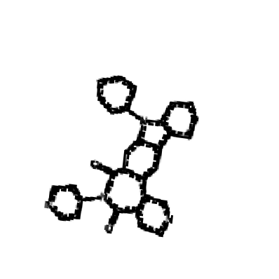 O=c1c2ccncc2c2cc3c4ccccc4n(-c4ccccc4)c3cc2c(=O)n1-c1ccncc1